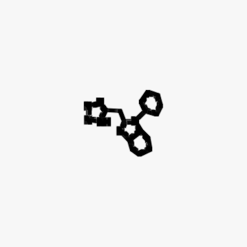 c1ccc(-n2c(Cc3nnn[nH]3)nc3ccccc32)cc1